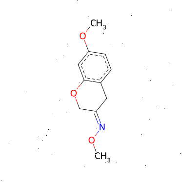 CON=C1COc2cc(OC)ccc2C1